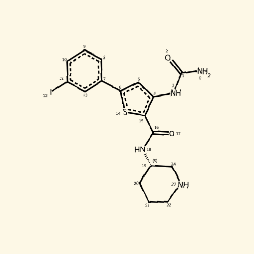 NC(=O)Nc1cc(-c2cccc(I)c2)sc1C(=O)N[C@H]1CCCNC1